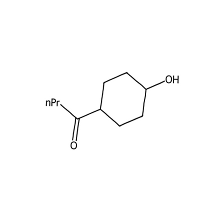 CCCC(=O)C1CCC(O)CC1